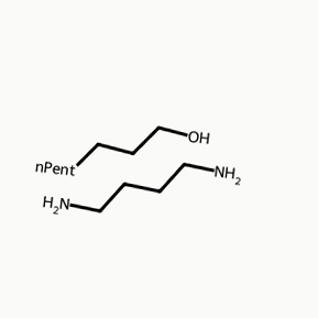 CCCCCCCCO.NCCCCN